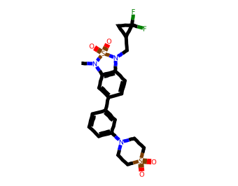 CN1c2cc(-c3cccc(N4CCS(=O)(=O)CC4)c3)ccc2N(CC2CC2(F)F)S1(=O)=O